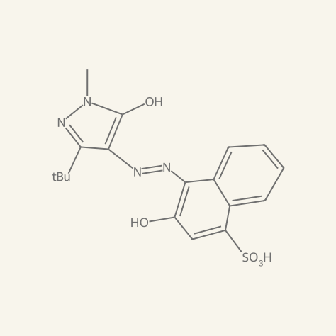 Cn1nc(C(C)(C)C)c(/N=N/c2c(O)cc(S(=O)(=O)O)c3ccccc23)c1O